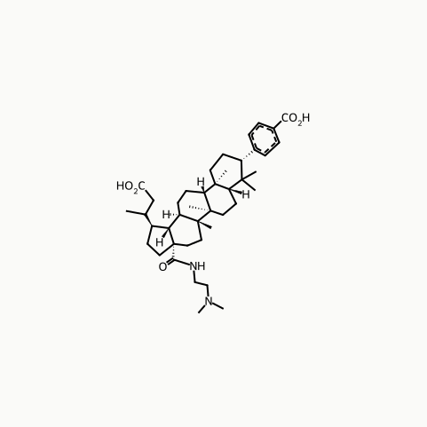 CC(CC(=O)O)[C@@H]1CC[C@]2(C(=O)NCCN(C)C)CC[C@]3(C)[C@H](CC[C@@H]4[C@@]5(C)CC[C@H](c6ccc(C(=O)O)cc6)C(C)(C)[C@@H]5CC[C@]43C)[C@@H]12